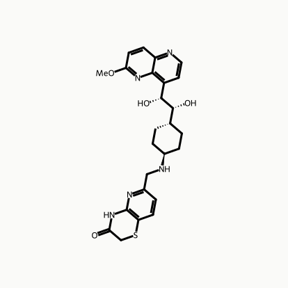 COc1ccc2nccc([C@@H](O)[C@H](O)[C@H]3CC[C@H](NCc4ccc5c(n4)NC(=O)CS5)CC3)c2n1